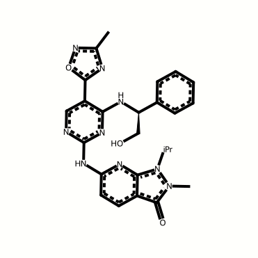 Cc1noc(-c2cnc(Nc3ccc4c(=O)n(C)n(C(C)C)c4n3)nc2N[C@H](CO)c2ccccc2)n1